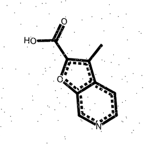 Cc1c(C(=O)O)oc2cnccc12